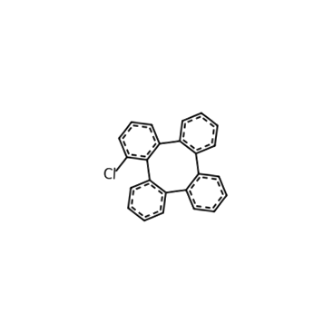 Clc1cccc2c1-c1ccccc1-c1ccccc1-c1ccccc1-2